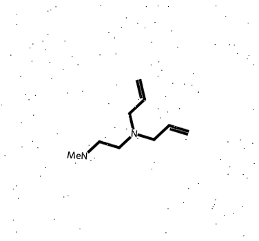 C=CCN(CC=C)CCNC